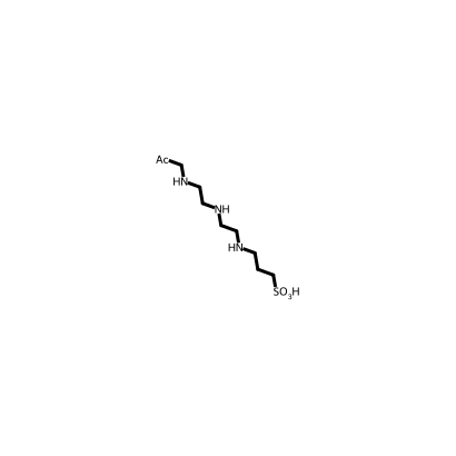 CC(=O)CNCCNCCNCCCS(=O)(=O)O